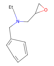 CCN(Cc1ccccc1)CC1CO1